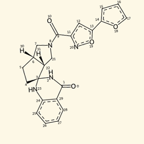 O=C1N[C@]2(CC[C@@H]3CN(C(=O)c4cc(-c5ccco5)on4)C[C@@H]32)Nc2ccccc21